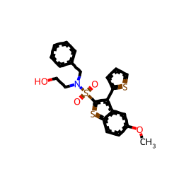 COc1ccc2sc(S(=O)(=O)N(CCO)Cc3ccccc3)c(-c3cccs3)c2c1